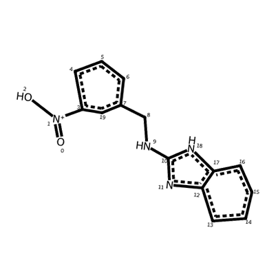 O=[N+](O)c1cccc(CNc2nc3ccccc3[nH]2)c1